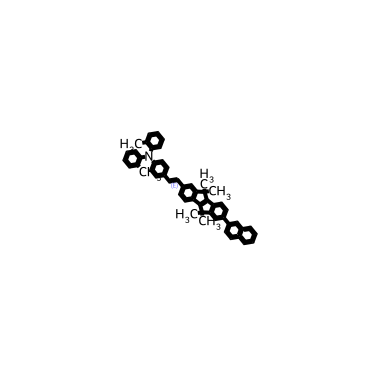 Cc1ccccc1N(c1ccc(/C=C/c2ccc3c(c2)C(C)(C)C2=C3C(C)(C)c3cc(-c4ccc5ccccc5c4)ccc32)cc1)c1ccccc1C